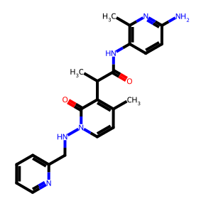 Cc1ccn(NCc2ccccn2)c(=O)c1C(C)C(=O)Nc1ccc(N)nc1C